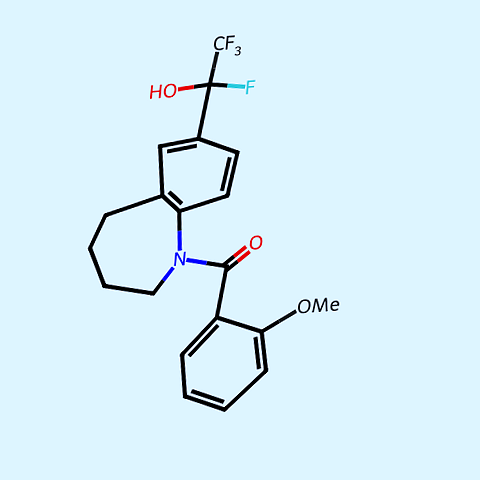 COc1ccccc1C(=O)N1CCCCc2cc(C(O)(F)C(F)(F)F)ccc21